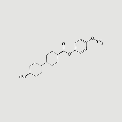 CCCC[C@H]1CC[C@H]([C@H]2CC[C@H](C(=O)Oc3ccc(OC(F)(F)F)cc3)CC2)CC1